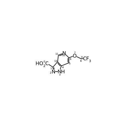 O=C(O)c1n[nH]c2cc(OCC(F)(F)F)ncc12